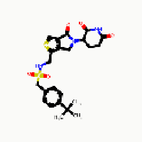 CC(C)(C)c1ccc(CS(=O)(=O)NCc2scc3c2CN(C2CCC(=O)NC2=O)C3=O)cc1